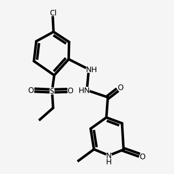 CCS(=O)(=O)c1ccc(Cl)cc1NNC(=O)c1cc(C)[nH]c(=O)c1